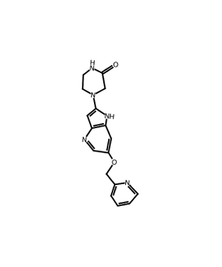 O=C1CN(c2cc3ncc(OCc4ccccn4)cc3[nH]2)CCN1